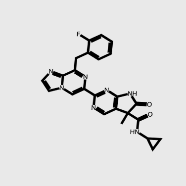 CC1(C(=O)NC2CC2)C(=O)Nc2nc(-c3cn4ccnc4c(Cc4ccccc4F)n3)ncc21